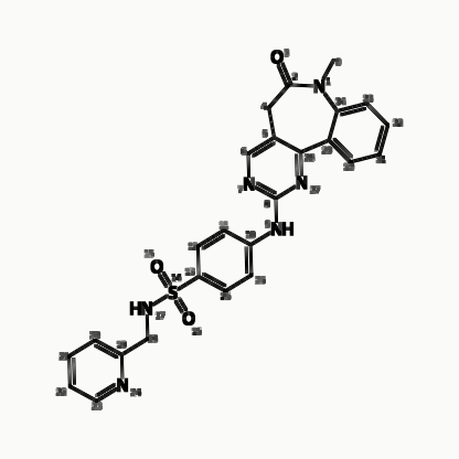 CN1C(=O)Cc2cnc(Nc3ccc(S(=O)(=O)NCc4ccccn4)cc3)nc2-c2ccccc21